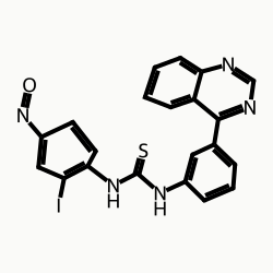 O=Nc1ccc(NC(=S)Nc2cccc(-c3ncnc4ccccc34)c2)c(I)c1